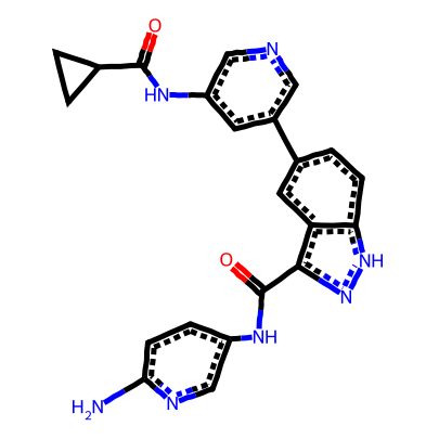 Nc1ccc(NC(=O)c2n[nH]c3ccc(-c4cncc(NC(=O)C5CC5)c4)cc23)cn1